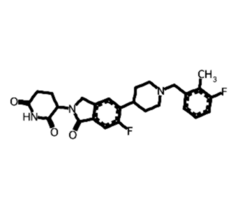 Cc1c(F)cccc1CN1CCC(c2cc3c(cc2F)C(=O)N(C2CCC(=O)NC2=O)C3)CC1